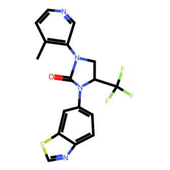 Cc1ccncc1N1CC(C(F)(F)F)N(c2ccc3ncsc3c2)C1=O